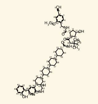 C#Cc1ccc(CNC(=O)[C@@H]2C[C@@H](O)CN2C(=O)[C@@H](NC(=O)[C@H]2CC[C@H](N3CCC(N4CCC(N5CCN6c7cc(-c8ccccc8O)nnc7NC[C@H]6C5)CC4)CC3)CC2)C(C)(C)C)c(OC)c1